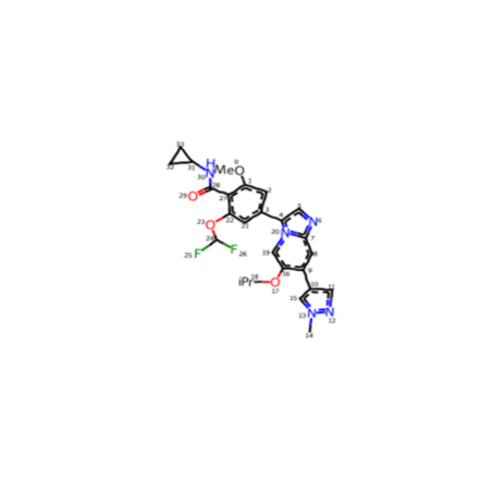 COc1cc(-c2cnc3cc(-c4cnn(C)c4)c(OC(C)C)cn23)cc(OC(F)F)c1C(=O)NC1CC1